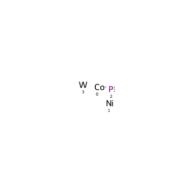 [Co].[Ni].[P].[W]